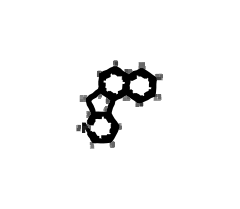 c1cnc2c(c1)-c1c(ccc3ccccc13)C2